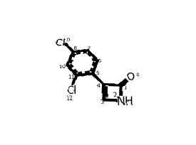 O=C1NC=C1c1ccc(Cl)cc1Cl